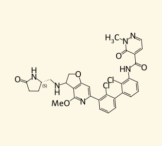 COc1nc(-c2cccc(-c3cccc(NC(=O)c4ccnn(C)c4=O)c3Cl)c2Cl)cc2c1C(NC[C@@H]1CCC(=O)N1)CO2